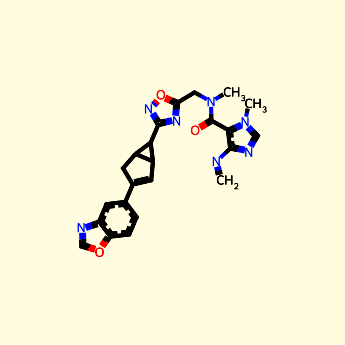 C=Nc1ncn(C)c1C(=O)N(C)Cc1nc(C2C3C=C(c4ccc5ocnc5c4)CC32)no1